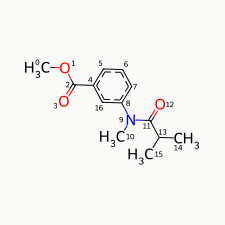 COC(=O)c1cccc(N(C)C(=O)C(C)C)c1